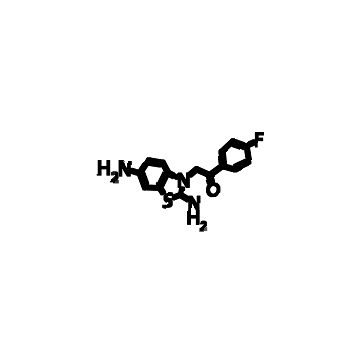 Nc1ccc2c(c1)SC(N)N2CC(=O)c1ccc(F)cc1